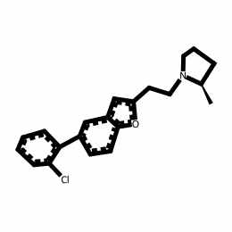 C[C@@H]1CCCN1CCc1cc2cc(-c3ccccc3Cl)ccc2o1